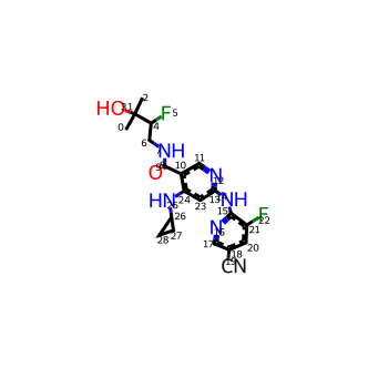 CC(C)(O)C(F)CNC(=O)c1cnc(Nc2ncc(C#N)cc2F)cc1NC1CC1